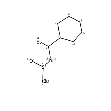 CCC(N[S+]([O-])C(C)(C)C)C1CCCCC1